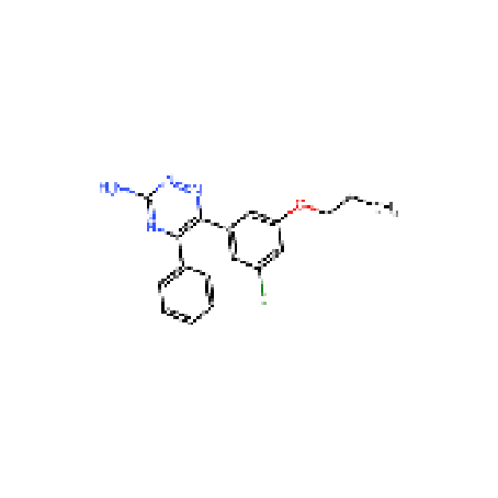 CCCOc1cc(Cl)cc(-c2nnc(N)nc2-c2ccccc2)c1